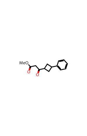 COC(=O)CC(=O)C1CC(c2ccccc2)C1